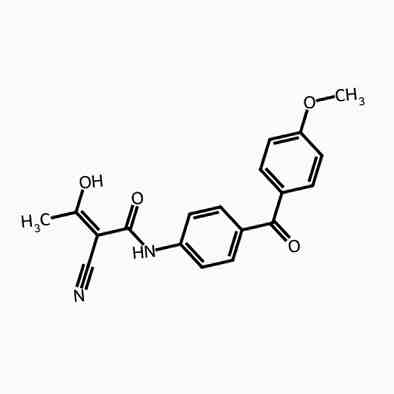 COc1ccc(C(=O)c2ccc(NC(=O)/C(C#N)=C(/C)O)cc2)cc1